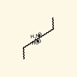 CCCCCCCC/C=C\CCCCCCCCCCC(CCC(CCCCCCCCCC/C=C\CCCCCCCC)C(=O)O)C(N)=O